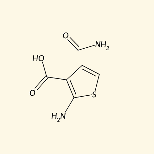 NC=O.Nc1sccc1C(=O)O